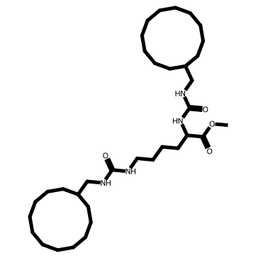 COC(=O)C(CCCCNC(=O)NCC1CCCCCCCCCCC1)NC(=O)NCC1CCCCCCCCCCC1